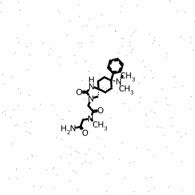 CN(CC(N)=O)C(=O)CN1C[C@]2(CC[C@@](c3ccccc3)(N(C)C)CC2)NC1=O